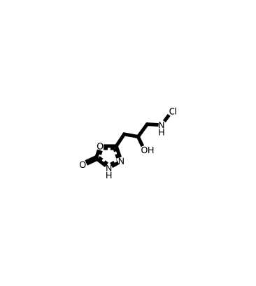 O=c1[nH]nc(CC(O)CNCl)o1